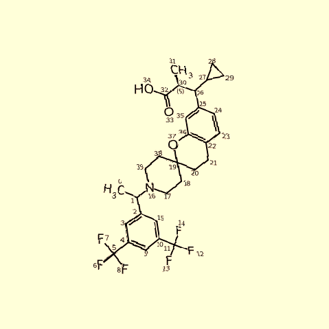 CC(c1cc(C(F)(F)F)cc(C(F)(F)F)c1)N1CCC2(CCc3ccc(C(C4CC4)[C@H](C)C(=O)O)cc3O2)CC1